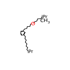 CC(C)CCCCCCCCc1cccc(CCCCCOCCCC(C)C(C)C)c1